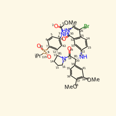 COC(=O)Nc1ccc(S(=O)(=O)C(C)C)c([C@H]2CCCN2C(=O)[C@H](Nc2ccc3c(Br)c[nH]c(=O)c3c2)c2ccc(OC)c(OC)c2)c1